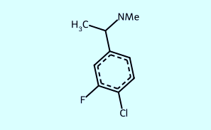 CNC(C)c1ccc(Cl)c(F)c1